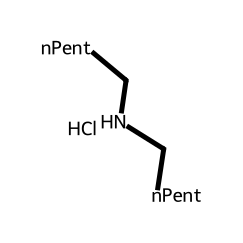 CCCCCCNCCCCCC.Cl